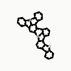 c1ccc2c(c1)oc1c2ccc2c1c1cccc3c4c5c6ccccc6n6c7ccccc7c(cc4n2c13)c56